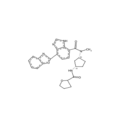 CN(C(=O)c1ccc(-c2nc3ccccc3o2)c2nc[nH]c12)[C@@H]1CC[C@H](NC(=O)C2CCCO2)C1